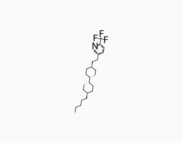 CCCCC[C@H]1CC[C@H]([C@H]2CC[C@H](CCc3ccc(C(F)(F)F)nc3)CC2)CC1